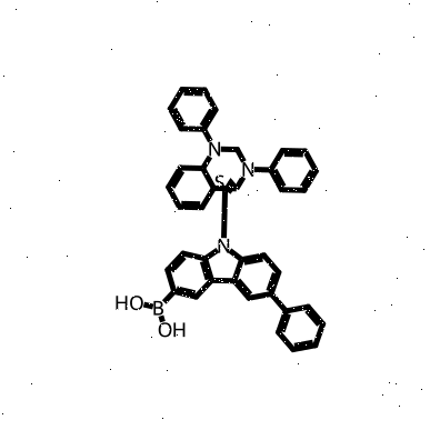 OB(O)c1ccc2c(c1)c1cc(-c3ccccc3)ccc1n2C1=CC2N(c3ccccc3)CN(c3ccccc3)C3C=CC=CC32S1